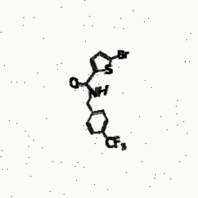 O=C(NCc1ccc(C(F)(F)F)cc1)c1ccc(Br)s1